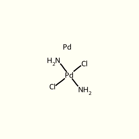 [NH2][Pd]([NH2])([Cl])[Cl].[Pd]